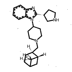 CC1(C)C2CC[C@@H](CN3CCC(n4c([C@@H]5CCNC5)nc5ccccc54)CC3)[C@@H]1C2